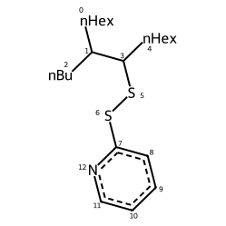 CCCCCCC(CCCC)C(CCCCCC)SSc1ccccn1